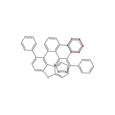 c1ccc(-c2cccc(-c3c(-c4ccccc4)ccc4sc5ccccc5c34)c2-c2nnnc(-c3ccccc3)c2-c2ccccc2)cc1